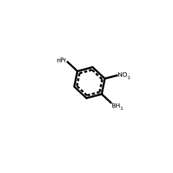 Bc1ccc(CCC)cc1[N+](=O)[O-]